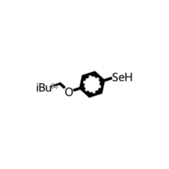 CC[C@H](C)COc1ccc([SeH])cc1